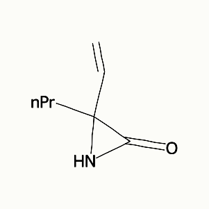 C=CC1(CCC)NC1=O